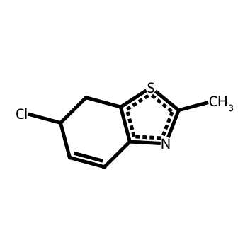 Cc1nc2c(s1)CC(Cl)C=C2